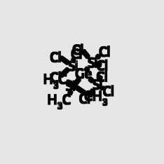 C[Si](C)(C)[Ge]([Si](Cl)(Cl)Cl)([Si](Cl)(Cl)Cl)[Si](Cl)(Cl)Cl